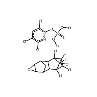 CCOP(=S)(OCC)Oc1nc(Cl)c(Cl)cc1Cl.ClC1=C(Cl)C2(Cl)C3C4CC(C5OC45)C3C1(Cl)C2(Cl)Cl